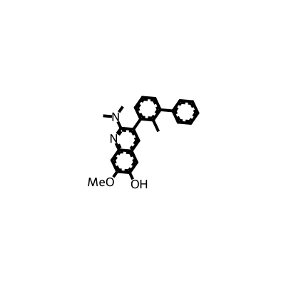 COc1cc2nc(N(C)C)c(-c3cccc(-c4ccccc4)c3C)cc2cc1O